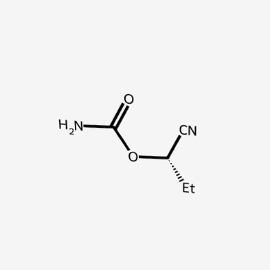 CC[C@@H](C#N)OC(N)=O